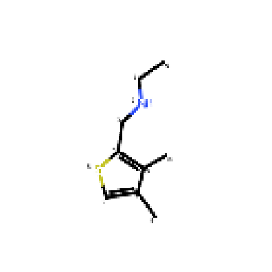 CCNCc1scc(C)c1C